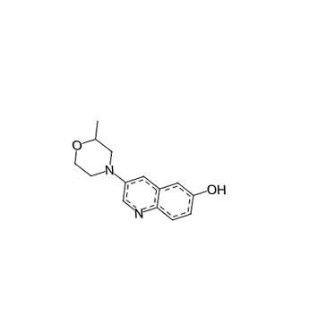 CC1CN(c2cnc3ccc(O)cc3c2)CCO1